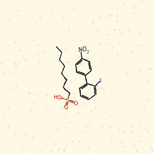 CCCCCCCCS(=O)(=O)O.O=[N+]([O-])c1ccc(-c2ccccc2I)cc1